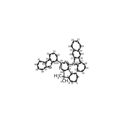 CC1(C)c2ccccc2-c2c(-n3c4ccccc4c4cc5ccccc5cc43)nc(-c3cccc4c3sc3ccccc34)nc21